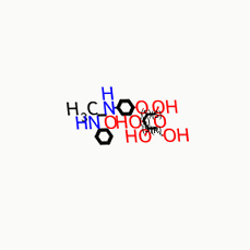 CC(Nc1ccccc1)C(=O)Nc1ccc(O[C@H]2[C@@H](O)[C@H](O)[C@@H](CO)O[C@@H]2O)cc1